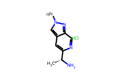 CCCn1cc2cc([C@@H](C)N)ncc2n1.Cl